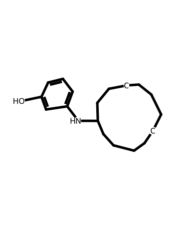 Oc1cccc(NC2CCCCCCCCCCC2)c1